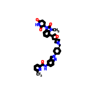 Cn1c(=O)n(C2CCC(=O)NC2=O)c2cccc(C3COC4(C3)CN(C[C@H]3CC[C@H](n5cc6cc(NC(=O)c7cccc(C(F)(F)F)n7)ccc6n5)CC3)C4)c21